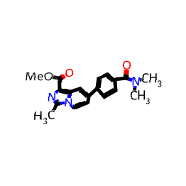 COC(=O)c1nc(C)n2ccc(-c3ccc(C(=O)N(C)C)cc3)cc12